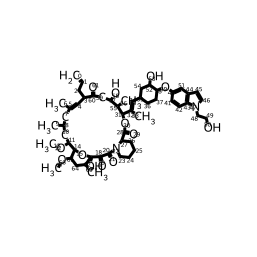 C=CCC1/C=C(\C)CC(C)CC(OC)C2OC(O)(C(=O)C(=O)N3CCCCC3C(=O)OC(C(C)=CC3CCC(Oc4ccc5c(ccn5CCO)c4)C(O)C3)C(C)C(O)CC1=O)C(C)CC2OC